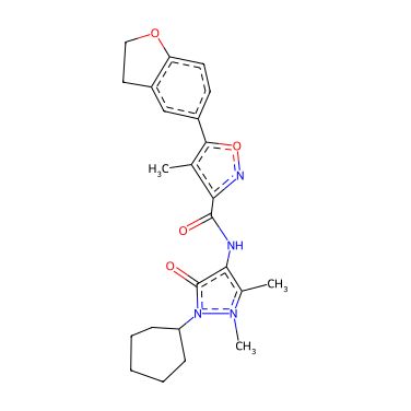 Cc1c(C(=O)Nc2c(C)n(C)n(C3CCCCC3)c2=O)noc1-c1ccc2c(c1)CCO2